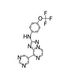 FC(F)(F)Oc1ccc(Nc2nc3c(-c4cncnc4)nccn3n2)cc1